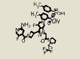 Cc1ccc(S(=O)(=O)O)cc1.Cc1ccc(S(=O)(=O)O)cc1.Nc1cc(C(=O)N2CC(c3nn(CC(=O)N4CCC[C@H]4COC(F)(F)F)c4cncc(F)c34)C2)c(F)cn1